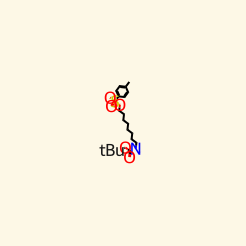 Cc1ccc(S(=O)(=O)OCCCCCCCCN(C)C(=O)OC(C)(C)C)cc1